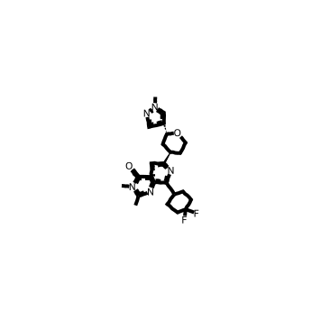 Cc1nc2c(C3CCC(F)(F)CC3)nc([C@@H]3CCO[C@@H](c4cnn(C)c4)C3)cc2c(=O)n1C